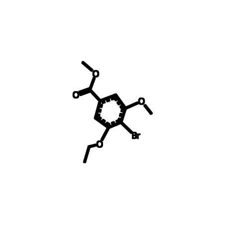 CCOc1cc(C(=O)OC)cc(OC)c1Br